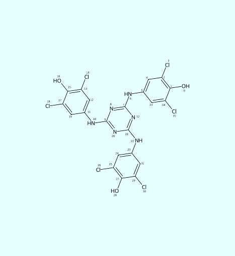 Oc1c(Cl)cc(Nc2nc(Nc3cc(Cl)c(O)c(Cl)c3)nc(Nc3cc(Cl)c(O)c(Cl)c3)n2)cc1Cl